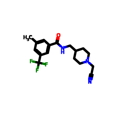 Cc1cc(C(=O)NCC2CCN(CC#N)CC2)cc(C(F)(F)F)c1